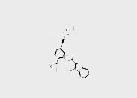 COC(=O)c1ccc(C#C[Si](C)(C)C)cc1NC(=O)c1sc2ccccc2c1Cl